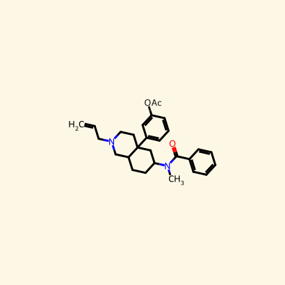 C=CCN1CCC2(c3cccc(OC(C)=O)c3)CC(N(C)C(=O)c3ccccc3)CCC2C1